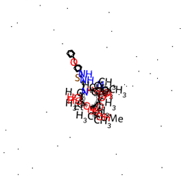 CC[C@H]1OC(=O)[C@H](C)[C@@H](O[C@@H](CCOC)O[C@@H](C)[C@@H](C)O)[C@H](C)[C@@H](O[C@@H]2O[C@H](C)C[C@H](N(C)C)[C@H]2O)[C@](C)(O)C[C@@H](C)CN(CCCNC(=S)Nc2ccc(OCc3ccccc3)cc2)[C@H](C)[C@@H](O)[C@]1(C)O